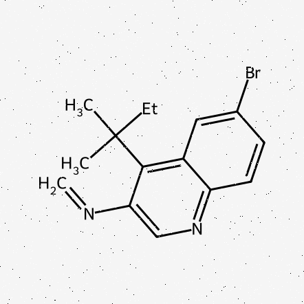 C=Nc1cnc2ccc(Br)cc2c1C(C)(C)CC